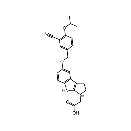 CC(C)Oc1ccc(COc2ccc3[nH]c4c(c3c2)CC[C@H]4CC(=O)O)cc1C#N